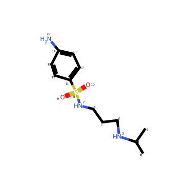 CC(C)NCCCNS(=O)(=O)c1ccc(N)cc1